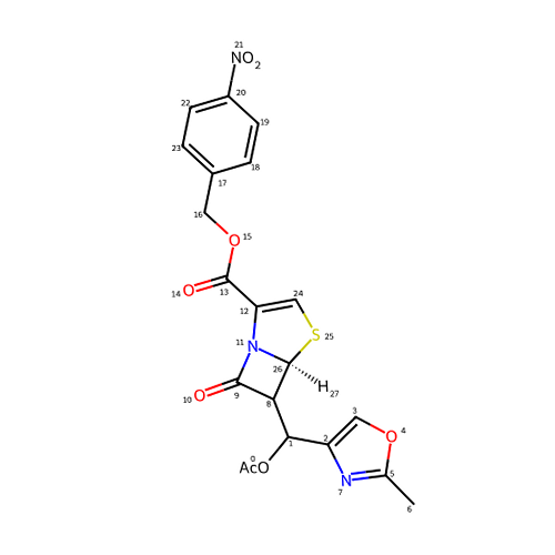 CC(=O)OC(c1coc(C)n1)C1C(=O)N2C(C(=O)OCc3ccc([N+](=O)[O-])cc3)=CS[C@@H]12